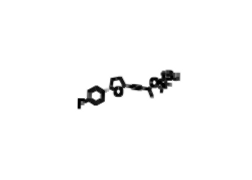 CC(C#C[C@@H]1CC[C@@H](c2ccc(F)cc2)O1)O[Si](C)(C)C(C)(C)C